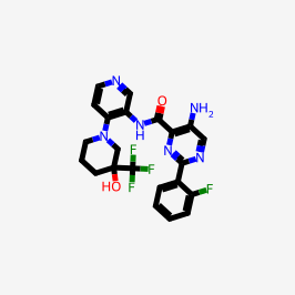 Nc1cnc(-c2ccccc2F)nc1C(=O)Nc1cnccc1N1CCCC(O)(C(F)(F)F)C1